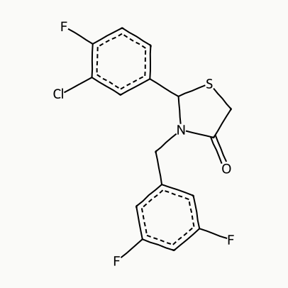 O=C1CSC(c2ccc(F)c(Cl)c2)N1Cc1cc(F)cc(F)c1